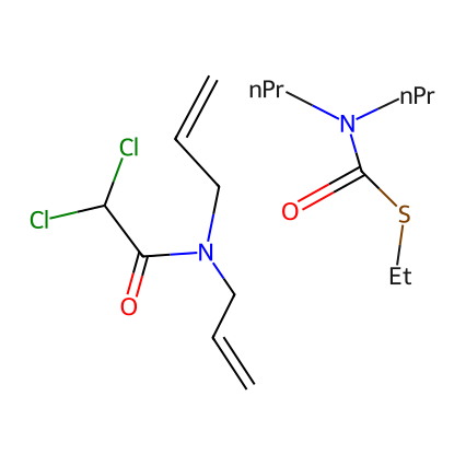 C=CCN(CC=C)C(=O)C(Cl)Cl.CCCN(CCC)C(=O)SCC